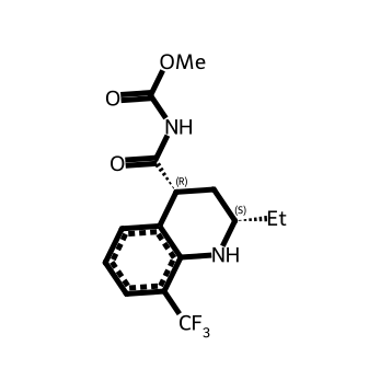 CC[C@H]1C[C@@H](C(=O)NC(=O)OC)c2cccc(C(F)(F)F)c2N1